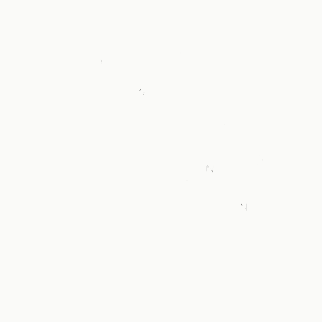 C#CCN1C(=O)COc2cc(F)c(-n3c(=O)cc(CC)[nH]c3=O)cc21